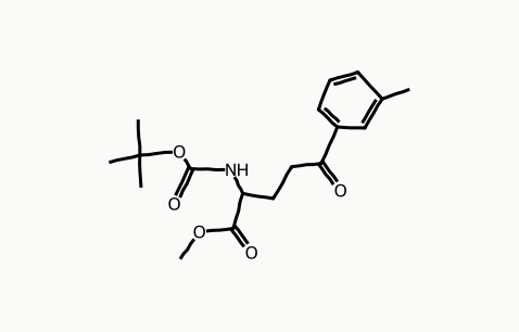 COC(=O)C(CCC(=O)c1cccc(C)c1)NC(=O)OC(C)(C)C